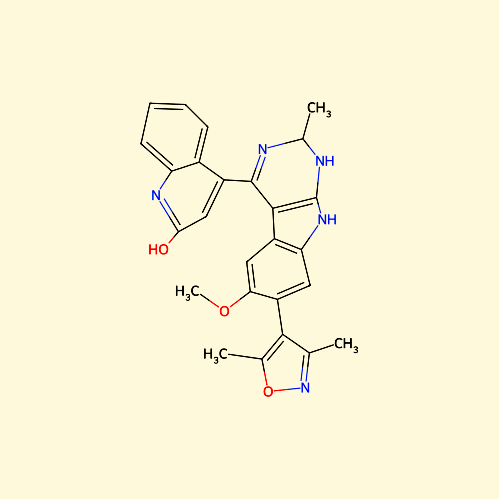 COc1cc2c3c([nH]c2cc1-c1c(C)noc1C)NC(C)N=C3c1cc(O)nc2ccccc12